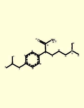 CC(C)Cc1ccc(C(CCCN(C)C)C(N)=O)cc1